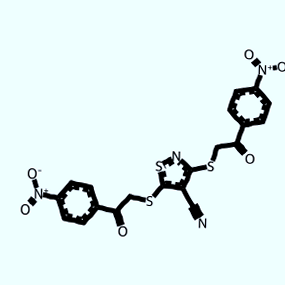 N#Cc1c(SCC(=O)c2ccc([N+](=O)[O-])cc2)nsc1SCC(=O)c1ccc([N+](=O)[O-])cc1